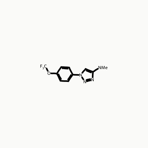 CNc1cn(-c2ccc(OC(F)(F)F)cc2)nn1